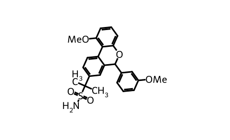 COc1cccc(C2Oc3cccc(OC)c3-c3ccc(C(C)(C)S(N)(=O)=O)cc32)c1